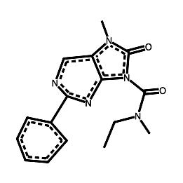 CCN(C)C(=O)n1c(=O)n(C)c2cnc(-c3ccccc3)nc21